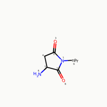 CCCN1C(=O)CC(N)C1=O